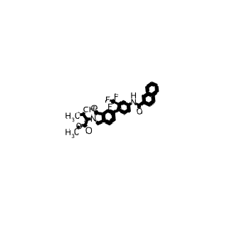 COC(=O)C(C(C)C)N1Cc2ccc(-c3ccc(NC(=O)c4ccc5ccccc5c4)cc3C(F)(F)F)cc2C1=O